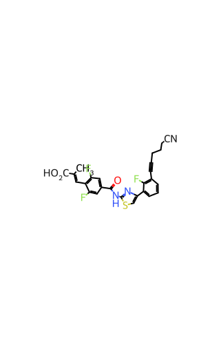 C/C(=C\c1c(F)cc(C(=O)Nc2nc(-c3cccc(C#CCCCC#N)c3F)cs2)cc1F)C(=O)O